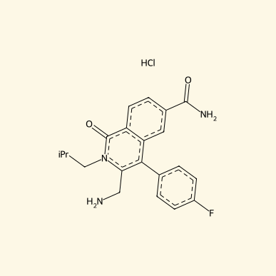 CC(C)Cn1c(CN)c(-c2ccc(F)cc2)c2cc(C(N)=O)ccc2c1=O.Cl